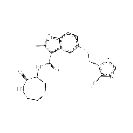 Cc1ncsc1COc1ccc2oc(C)c(C(=O)NC3COCCNC3=O)c2c1